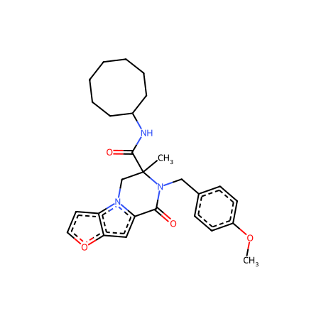 COc1ccc(CN2C(=O)c3cc4occc4n3CC2(C)C(=O)NC2CCCCCCC2)cc1